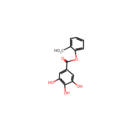 O=C(Oc1ccccc1C(=O)O)c1cc(O)c(O)c(O)c1